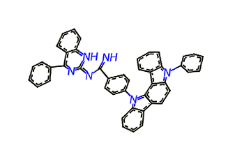 N=C(/N=c1/nc(-c2ccccc2)c2ccccc2[nH]1)c1ccc(-n2c3ccccc3c3ccc4c(c5ccccc5n4-c4ccccc4)c32)cc1